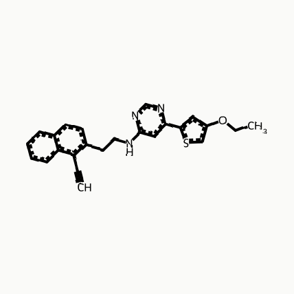 C#Cc1c(CCNc2cc(-c3cc(OCC)cs3)ncn2)ccc2ccccc12